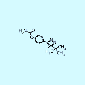 CC(C)(C)c1nnc(-c2ccc(OC(N)=O)cc2)s1